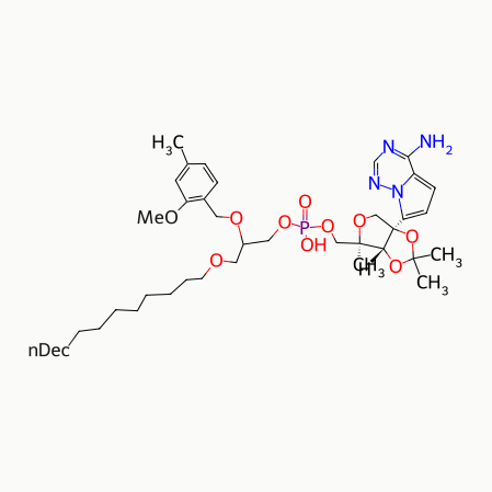 CCCCCCCCCCCCCCCCCCOCC(COP(=O)(O)OC[C@@]1(C)OC[C@@]2(c3ccc4c(N)ncnn34)OC(C)(C)O[C@H]12)OCc1ccc(C)cc1OC